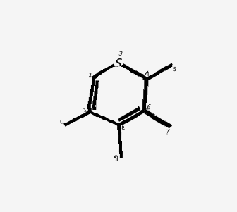 CC1=CSC(C)C(C)=C1C